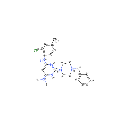 CN(C)c1cc(Nc2ccc(C(F)(F)F)cc2Cl)nc(N2CCN(Cc3ccccc3)CC2)n1